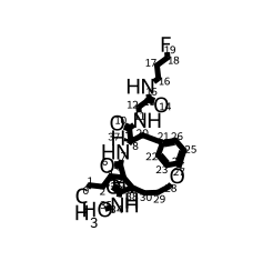 CCCC[C@H]1C(=O)N[C@H](C(=O)NCC(=O)NCCCF)Cc2ccc(cc2)OCCC[C@@H]1C(=O)NO